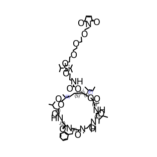 C/C=C(\C)[C@H]1OC(=O)[C@@H](C)NC(=O)[C@H](C(C)CC)NC(=O)CN(C)C(=O)[C@@H](Cc2ccccc2)N(C)C(=O)[C@H](C)NC(=O)[C@@H](CC(C)C)OC(=O)/C(C)=C/C[C@H](OC(=O)NCCO[Si](OCCOCCOCCOCCN2C(=O)C=CC2=O)(C(C)C)C(C)C)[C@@H]1C